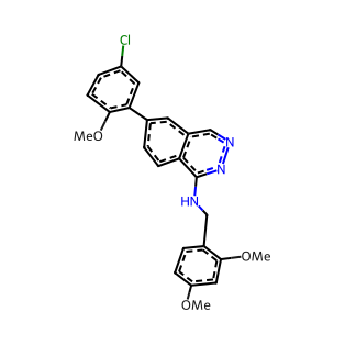 COc1ccc(CNc2nncc3cc(-c4cc(Cl)ccc4OC)ccc23)c(OC)c1